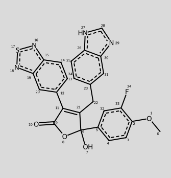 COc1ccc(C2(O)OC(=O)C(c3ccc4nsnc4c3)=C2Cc2ccc3[nH]cnc3c2)cc1F